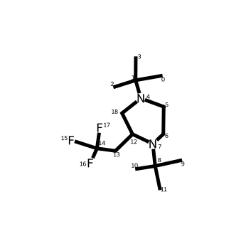 CC(C)(C)N1CCN(C(C)(C)C)C(CC(F)(F)F)C1